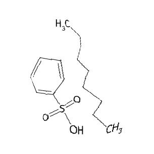 CCCCCCCC.O=S(=O)(O)c1ccccc1